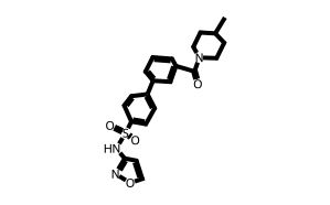 CC1CCN(C(=O)c2cccc(-c3ccc(S(=O)(=O)Nc4ccon4)cc3)c2)CC1